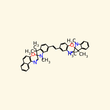 CN1c2ccccc2C(C)(C)C12C=Nc1cc(C=Cc3ccc4c(c3)N(C)C3(C=Nc5c(ccc6ccccc56)O3)C4(C)C)ccc1O2